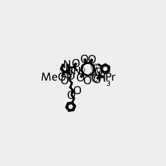 COc1ccnc(C(=O)N[C@H]2CC(=O)C(=O)[C@H](Cc3ccccc3)[C@H](OC(=O)C(C)C)[C@H](C)C(=O)C2=O)c1OC(=O)CCC(=O)OCc1ccccc1